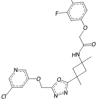 Cc1ccc(OCC(=O)NC2(C)CC(C)(c3nnc(COc4cncc(Cl)c4)o3)C2)cc1F